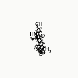 C#Cc1ccc2c(c1)[nH]c1c2c(=O)c2cc(CCCC)c(-c3cncc(OS(=O)(=O)F)c3)cc2n1C1CC1